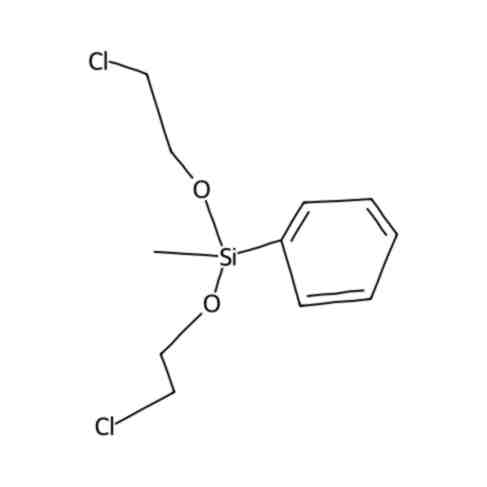 C[Si](OCCCl)(OCCCl)c1ccccc1